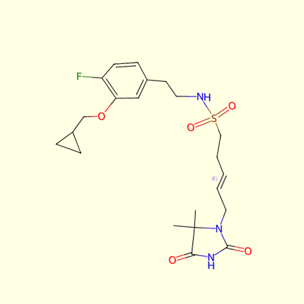 CC1(C)C(=O)NC(=O)N1C/C=C/CCS(=O)(=O)NCCc1ccc(F)c(OCC2CC2)c1